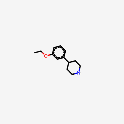 CCOc1cccc(C2CC[N]CC2)c1